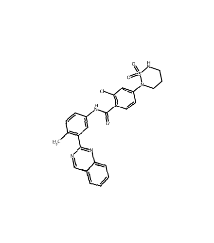 Cc1ccc(NC(=O)c2ccc(N3CCCNS3(=O)=O)cc2Cl)cc1-c1ncc2ccccc2n1